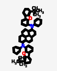 C[Si](C)(C)c1cccc2c1oc1c(N(C3=C4C=Cc5ccc(N(c6ccccc6)c6cccc7c6oc6c([Si](C)(C)C)cccc67)c6c5C4C(C=C3)C=C6)c3ccccc3)cccc12